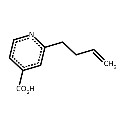 C=CCCc1cc(C(=O)O)ccn1